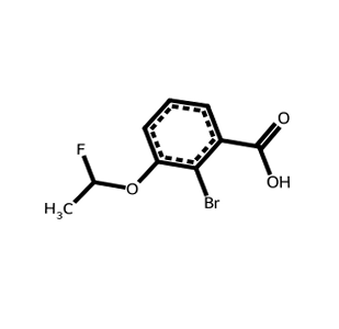 CC(F)Oc1cccc(C(=O)O)c1Br